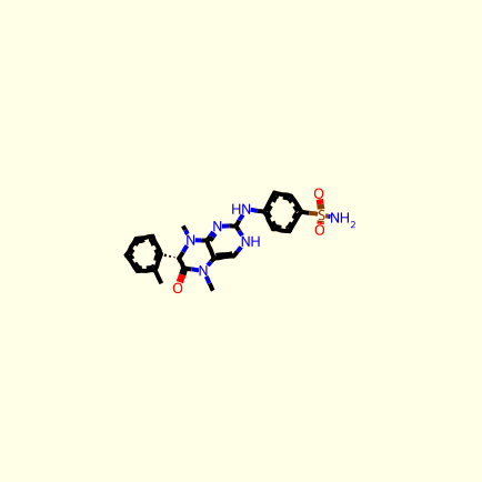 Cc1ccccc1[C@H]1C(=O)N(C)C2=CNC(Nc3ccc(S(N)(=O)=O)cc3)N=C2N1C